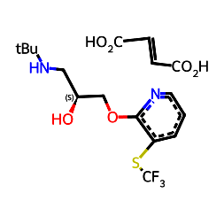 CC(C)(C)NC[C@H](O)COc1ncccc1SC(F)(F)F.O=C(O)C=CC(=O)O